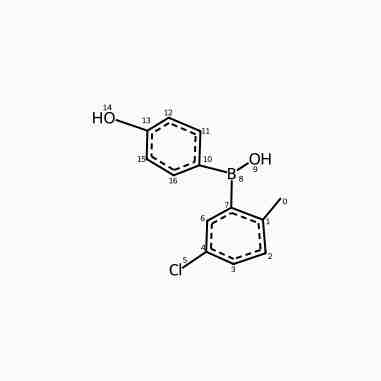 Cc1ccc(Cl)cc1B(O)c1ccc(O)cc1